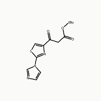 CC(C)(C)OC(=O)CC(=O)c1csc(-n2ccnc2)n1